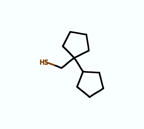 SCC1(C2CCCC2)CCCC1